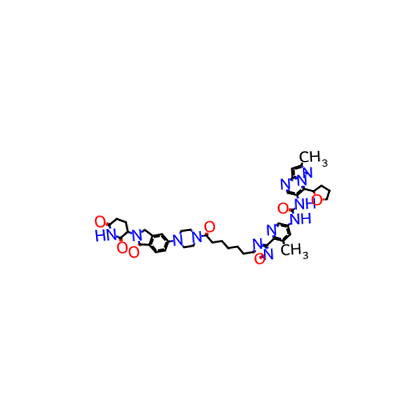 Cc1cc2ncc(NC(=O)Nc3cnc(-c4noc(CCCCCC(=O)N5CCN(c6ccc7c(c6)CN(C6CCC(=O)NC6=O)C7=O)CC5)n4)c(C)c3)c(C3CCCO3)n2n1